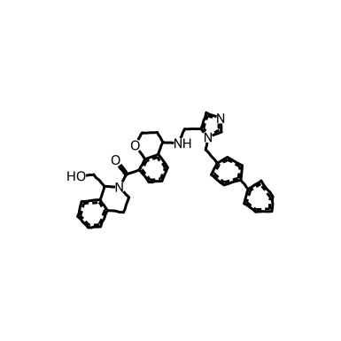 O=C(c1cccc2c1OCCC2NCc1cncn1Cc1ccc(-c2ccccc2)cc1)N1CCc2ccccc2C1CO